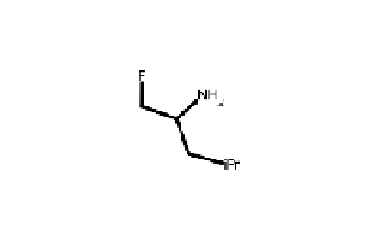 CC(C)CC(N)CF